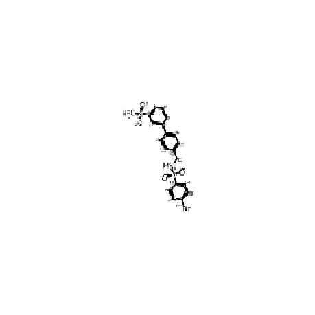 CS(=O)(=O)c1cccc(-c2ccc(CNS(=O)(=O)c3ccc(Br)cc3)cc2)c1